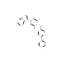 CC(=O)C1=C(C)N(Cc2ccc(-c3ccncc3)nc2)C(C)=C(C(=O)O)C1c1csc2ncccc12